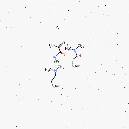 C=C(C)C(=O)NCCC.CCCCCCCCCCCCN(C)C.CCCCCCCCCCCCN(C)C.I